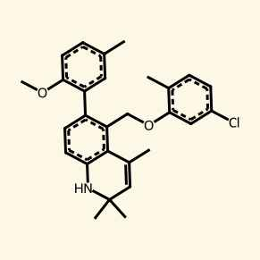 COc1ccc(C)cc1-c1ccc2c(c1COc1cc(Cl)ccc1C)C(C)=CC(C)(C)N2